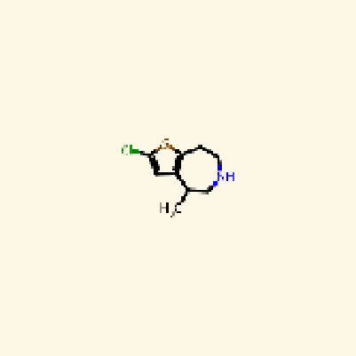 CC1CNCCc2sc(Cl)cc21